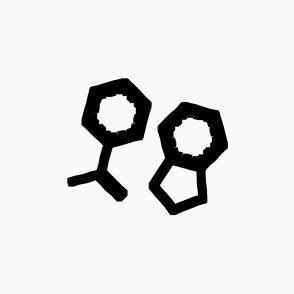 C=C(C)c1ccccc1.c1ccc2c(c1)CCC2